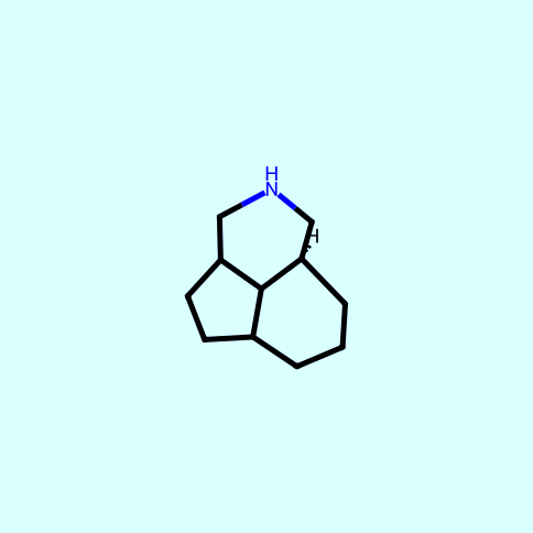 C1CC2CCC3CNC[C@@H](C1)C23